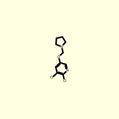 Clc1cc(OCN2CCCC2)cnc1Cl